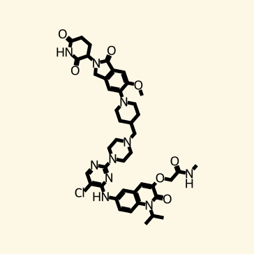 CNC(=O)COc1cc2cc(Nc3nc(N4CCN(CC5CCN(c6cc7c(cc6OC)C(=O)N(C6CCC(=O)NC6=O)C7)CC5)CC4)ncc3Cl)ccc2n(C(C)C)c1=O